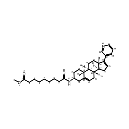 COC(=O)CCCCCCCC(=O)N[C@H]1CC[C@@]2(C)C(=CC[C@@H]3[C@@H]2CC[C@]2(C)C(c4cccnc4)=CC[C@@H]32)C1